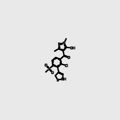 Cc1nn(C)c(O)c1C(=O)c1ccc(S(C)(=O)=O)c(C2=CNSC2)c1Cl